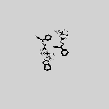 CC(C)(C)OC(=O)O/N=C(/C#N)c1ccccc1.CC(C)(C)OC(=O)O/N=C(\C#N)c1ccccc1.On1nnc2ccccc21